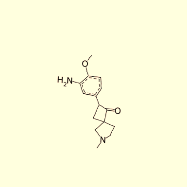 COc1ccc(C2CC3(CCN(C)C3)C2=O)cc1N